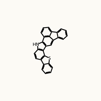 c1ccc2c(c1)-c1cccc3c1c-2cc1c3[nH]c2ccc3c4ccccc4sc3c21